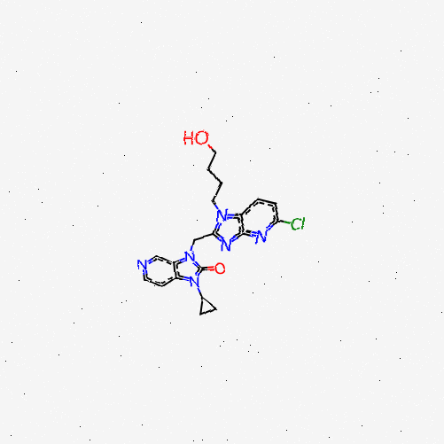 O=c1n(Cc2nc3nc(Cl)ccc3n2CCCCO)c2cnccc2n1C1CC1